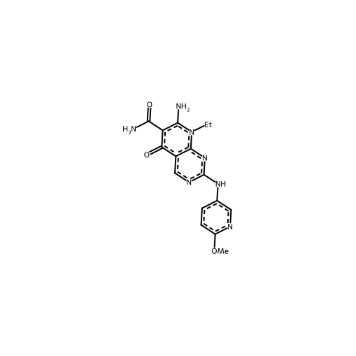 CCn1c(N)c(C(N)=O)c(=O)c2cnc(Nc3ccc(OC)nc3)nc21